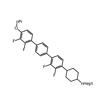 CCCCCCCC1CCC(c2ccc(-c3ccc(-c4ccc(OCCC)c(F)c4F)cc3)c(F)c2F)CC1